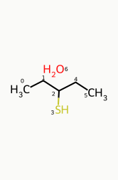 CCC(S)CC.O